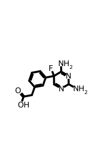 NC1=NC(N)N=CC1(F)c1cccc(CC(=O)O)c1